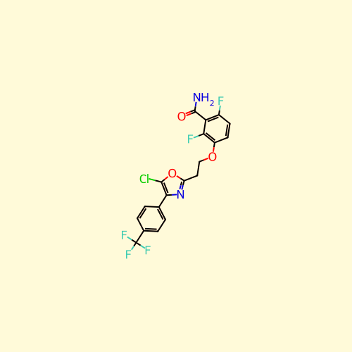 NC(=O)c1c(F)ccc(OCCc2nc(-c3ccc(C(F)(F)F)cc3)c(Cl)o2)c1F